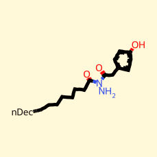 CCCCCCCCCCCCCCCCCC(=O)N(N)C(=O)Cc1ccc(O)cc1